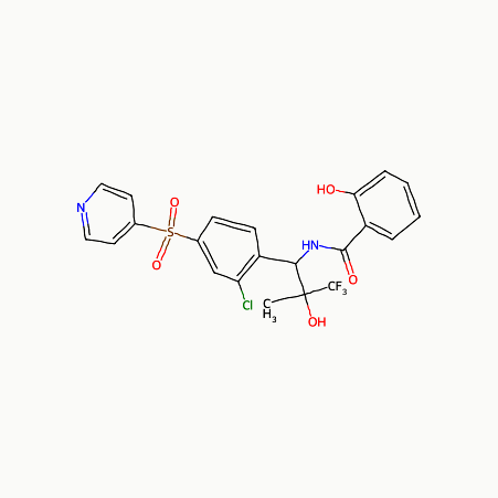 CC(O)(C(NC(=O)c1ccccc1O)c1ccc(S(=O)(=O)c2ccncc2)cc1Cl)C(F)(F)F